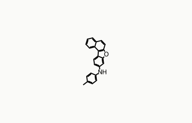 Cc1ccc(Nc2ccc3c(c2)oc2ccc4ccccc4c23)cc1